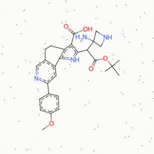 COc1ccc(-c2cc3c(cn2)CCc2c-3[nH]c(C(C(=O)OC(C)(C)C)C3(N)CNC3)c2C(=O)O)cc1